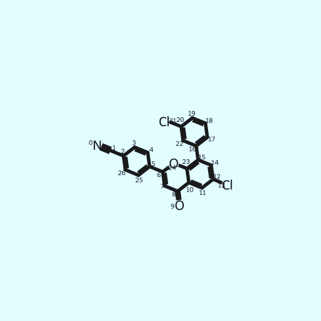 N#Cc1ccc(-c2cc(=O)c3cc(Cl)cc(-c4cccc(Cl)c4)c3o2)cc1